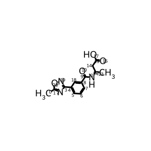 Cc1nc(-c2cccc(C(=O)N[C@H](C)CC(=O)O)c2)no1